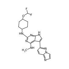 CNc1nc(NC2CCC(OC(F)F)CC2)nc2[nH]cc(-c3ccc4nccn4n3)c12